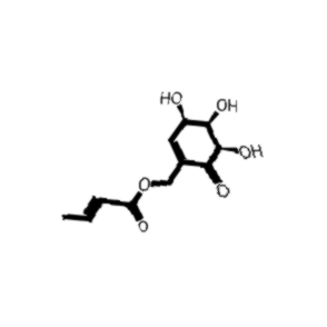 CC=CC(=O)OCC1=C[C@@H](O)[C@@H](O)[C@@H](O)C1=O